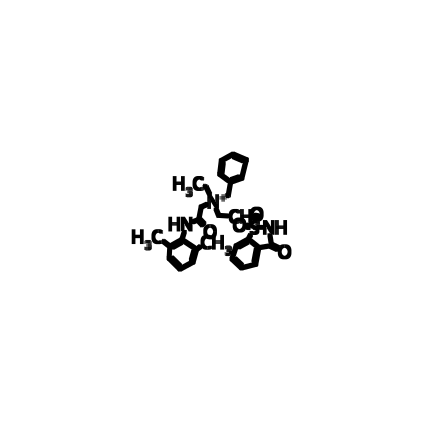 CC[N+](CC)(CC(=O)Nc1c(C)cccc1C)Cc1ccccc1.O=C1NS(=O)(=O)c2ccccc21